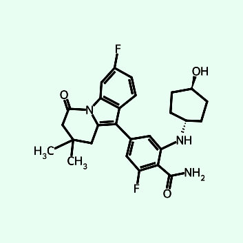 CC1(C)CC(=O)n2c(c(-c3cc(F)c(C(N)=O)c(N[C@H]4CC[C@H](O)CC4)c3)c3ccc(F)cc32)C1